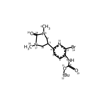 CN1CC(c2ccc(NC(=O)OC(C)(C)C)c(Br)n2)CN(C)C1=O